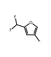 [CH2]c1coc(C(F)F)c1